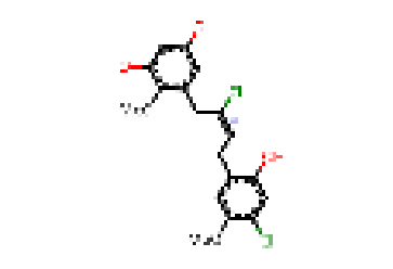 COc1cc(C/C=C(/Cl)Cc2cc(O)cc(O)c2OC)c(O)cc1Cl